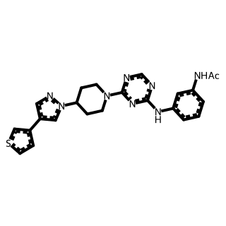 CC(=O)Nc1cccc(Nc2ncnc(N3CCC(n4cc(-c5ccsc5)cn4)CC3)n2)c1